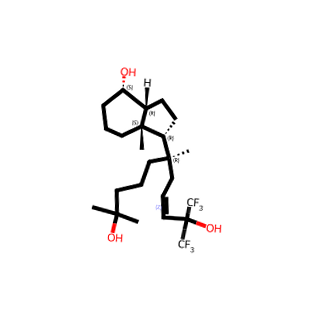 CC(C)(O)CCC[C@](C)(C/C=C\C(O)(C(F)(F)F)C(F)(F)F)[C@H]1CC[C@H]2[C@@H](O)CCC[C@@]12C